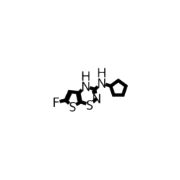 Fc1cc2c(s1)SN=C(NC1CCCC1)N2